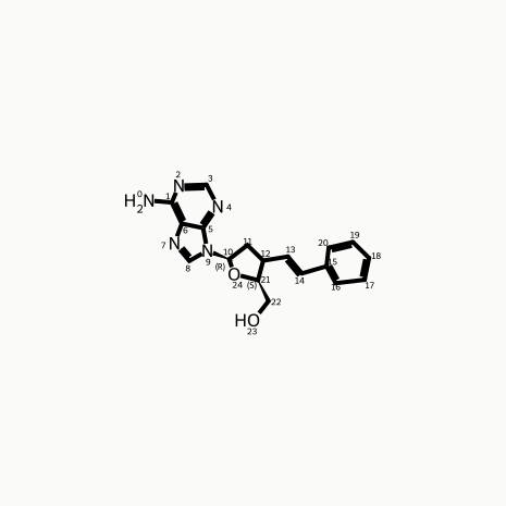 Nc1ncnc2c1ncn2[C@H]1CC(C=Cc2ccccc2)[C@@H](CO)O1